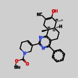 C[C@H]1C(O)=C(C#N)C[C@@]2(C)c3nc(C4=CCCN(C(=O)OC(C)(C)C)C4)nc(-c4ccccc4)c3CC[C@H]12